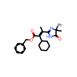 C/C(C1=NC(C)(C(C)C)C(=O)N1)=C(\C(=O)OCc1ccccc1)C1CCCCC1